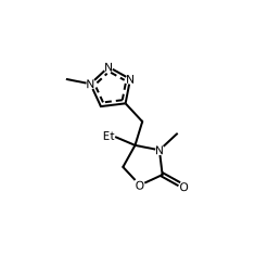 CCC1(Cc2cn(C)nn2)COC(=O)N1C